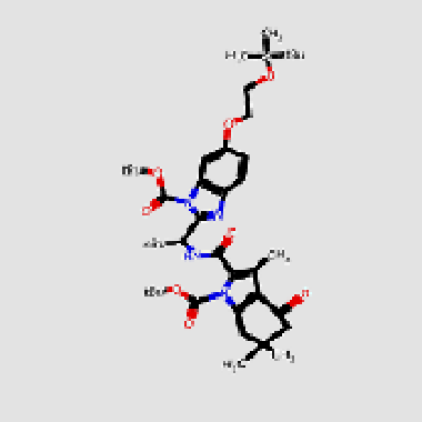 CCCC[C@H](NC(=O)c1c(C)c2c(n1C(=O)OC(C)(C)C)CC(C)(C)CC2=O)c1nc2ccc(OCCO[Si](C)(C)C(C)(C)C)cc2n1C(=O)OC(C)(C)C